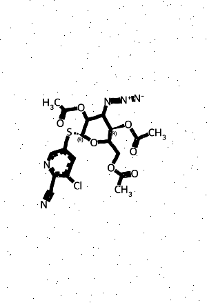 CC(=O)OCC1O[C@H](Sc2cnc(C#N)c(Cl)c2)C(OC(C)=O)C(N=[N+]=[N-])[C@H]1OC(C)=O